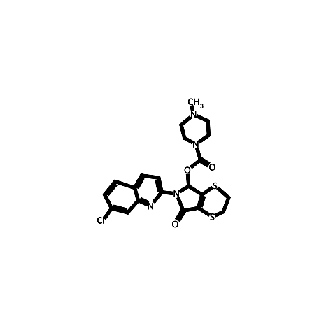 CN1CCN(C(=O)OC2C3=C(SCCS3)C(=O)N2c2ccc3ccc(Cl)cc3n2)CC1